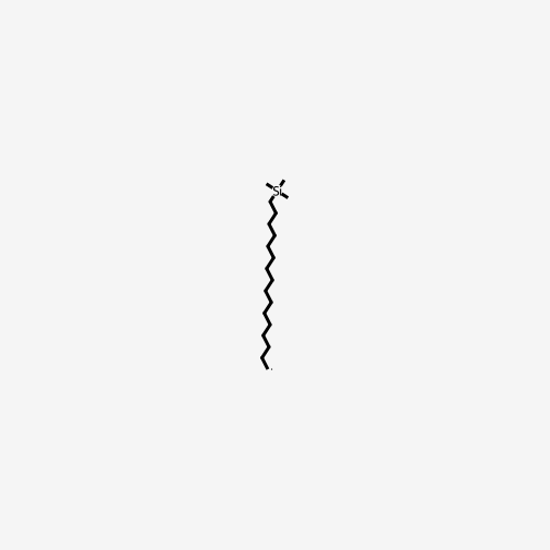 [CH2]CCCCCCCCCCCCCCC[Si](C)(C)C